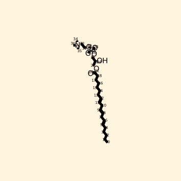 CCCCC/C=C/C/C=C/C/C=C/CCCCCCC(=O)OC[C@@H](O)COP(=O)([O-])OCC[N+](C)(C)C